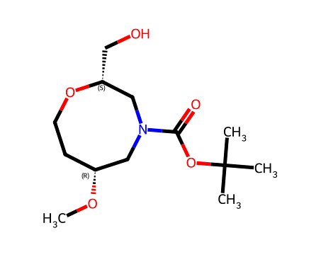 CO[C@@H]1CCO[C@H](CO)CN(C(=O)OC(C)(C)C)C1